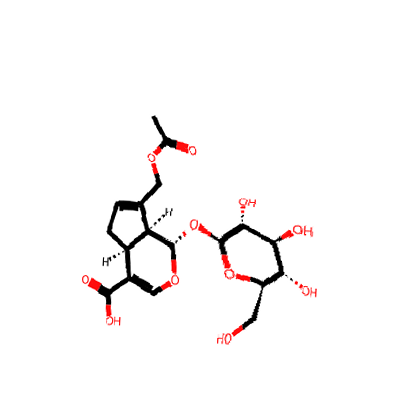 CC(=O)OCC1=CC[C@@H]2C(C(=O)O)=CO[C@@H](O[C@@H]3O[C@H](CO)[C@@H](O)[C@H](O)[C@H]3O)[C@H]12